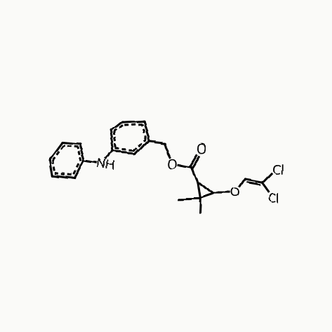 CC1(C)C(OC=C(Cl)Cl)C1C(=O)OCc1cccc(Nc2ccccc2)c1